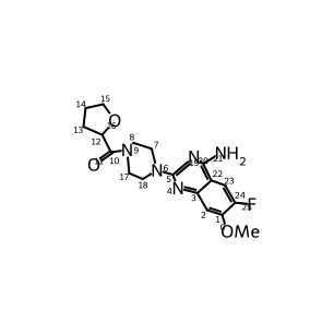 COc1cc2nc(N3CCN(C(=O)C4CCCO4)CC3)nc(N)c2cc1F